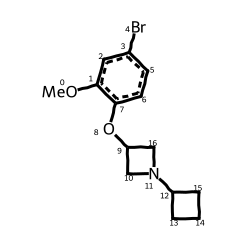 COc1cc(Br)ccc1OC1CN(C2CCC2)C1